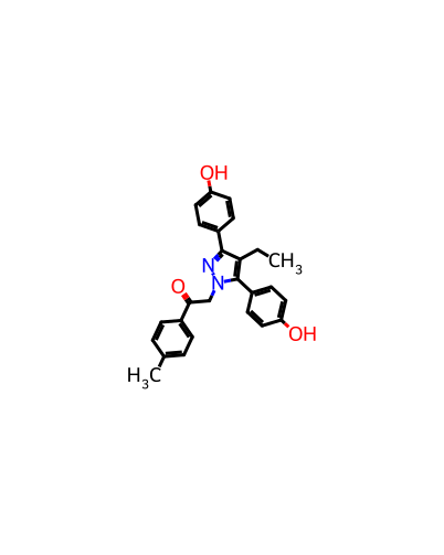 CCc1c(-c2ccc(O)cc2)nn(CC(=O)c2ccc(C)cc2)c1-c1ccc(O)cc1